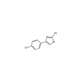 CCC1=NC(c2ccc(Cl)cc2)=C[N]1